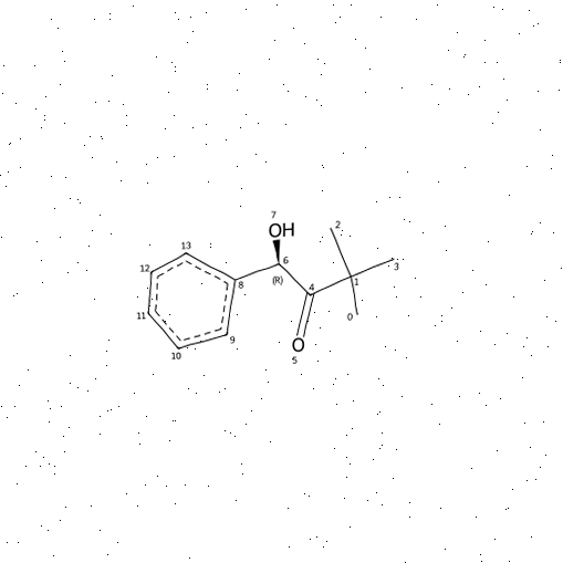 CC(C)(C)C(=O)[C@H](O)c1ccccc1